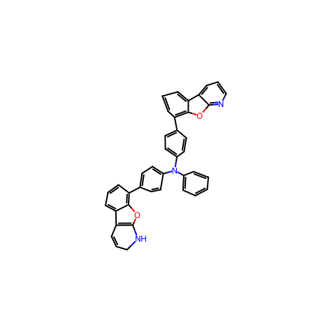 C1=Cc2c(oc3c(-c4ccc(N(c5ccccc5)c5ccc(-c6cccc7c6oc6ncccc67)cc5)cc4)cccc23)NC1